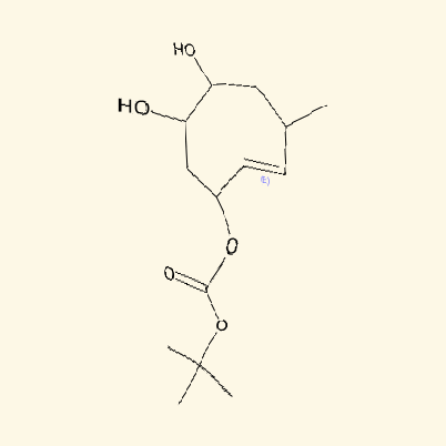 CC1/C=C/C(OC(=O)OC(C)(C)C)CC(O)C(O)C1